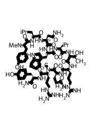 CN[C@@H](Cc1ccc(O)cc1)C(=O)N[C@@H](CC(C)C)C(=O)N[C@@H](CC(N)=O)C(=O)N[C@@H](Cc1c[nH]c2ccccc12)C(=O)N[C@H](C(=O)N[C@H](C(=O)N[C@@H](CCCNC(=N)N)C(=O)N[C@@H](CCC(N)=O)C(=O)N(C)[C@@H](CCCNC(=N)N)C(=O)N[C@@H](Cc1ccc(O)cc1)C(N)=O)[C@@H](C)O)C(C)C